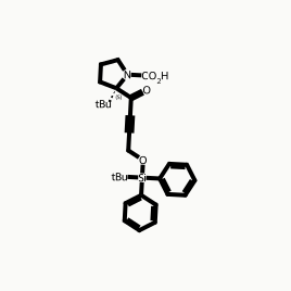 CC(C)(C)[C@]1(C(=O)C#CCO[Si](c2ccccc2)(c2ccccc2)C(C)(C)C)CCCN1C(=O)O